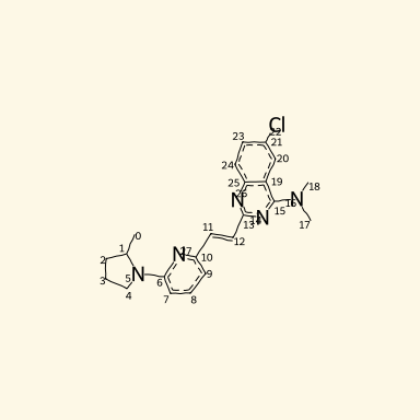 CC1CCCN1c1cccc(C=Cc2nc(N(C)C)c3cc(Cl)ccc3n2)n1